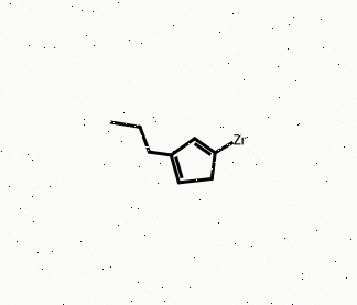 CCCC1=CC[C]([Zr])=C1